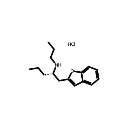 CCCN[C@@H](CCC)Cc1cc2ccccc2o1.Cl